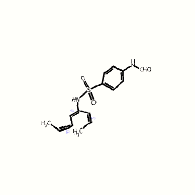 C\C=C/C=C(\C=C/C)NS(=O)(=O)c1ccc(NC=O)cc1